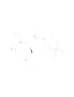 CN(C(=O)OC(C)(C)C)[C@@H](CC(C)(F)F)C(=O)O